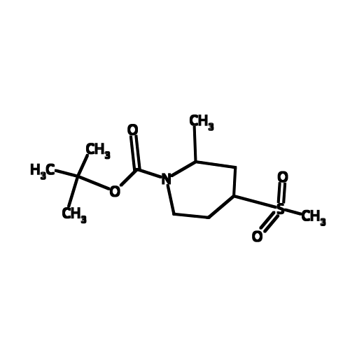 CC1CC(S(C)(=O)=O)CCN1C(=O)OC(C)(C)C